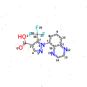 O=C(O)c1cnn(-c2cccc3nccnc23)c1C(F)(F)F